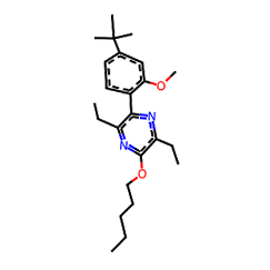 CCCCCOc1nc(CC)c(-c2ccc(C(C)(C)C)cc2OC)nc1CC